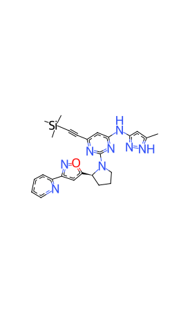 Cc1cc(Nc2cc(C#C[Si](C)(C)C)nc(N3CCC[C@H]3c3cc(-c4ccccn4)no3)n2)n[nH]1